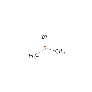 CSC.[Zn]